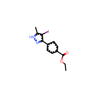 CCOC(=O)c1ccc(-c2n[nH]c(C)c2I)cc1